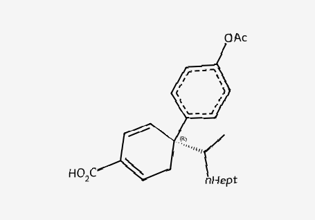 CCCCCCCC(C)[C@@]1(c2ccc(OC(C)=O)cc2)C=CC(C(=O)O)=CC1